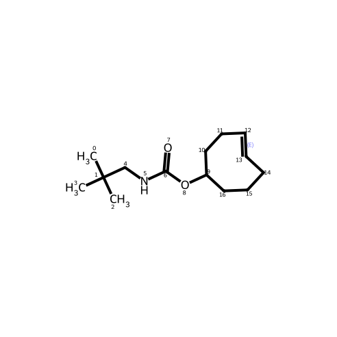 CC(C)(C)CNC(=O)OC1CC/C=C/CCC1